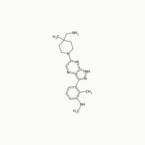 CNc1cccc(-c2n[nH]c3nc(N4CCC(C)(CN)CC4)cnc23)c1C